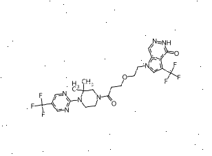 CC1(C)CN(C(=O)CCOCCn2cc(C(F)(F)F)c3c(=O)[nH]ncc32)CCN1c1ncc(C(F)(F)F)cn1